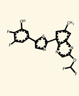 Cc1cc(-c2ncc(-c3cc(O)c(F)c(F)c3)s2)c2ncc(OC(F)F)nc2c1